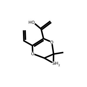 C=CC1=C(C(=C)O)OC2(C)[SiH2]C2O1